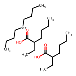 CCCCC(CC)C(=O)O.CCCCC(CC)C(=O)O.CCC[CH2][Sn][CH2]CCC